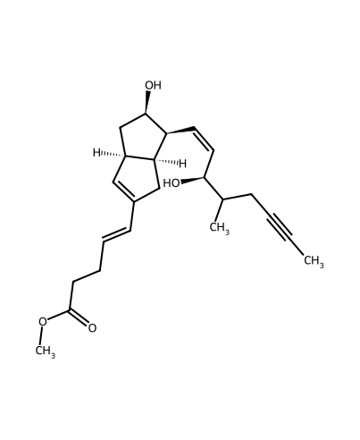 CC#CCC(C)[C@@H](O)/C=C\[C@H]1[C@H]2CC(C=CCCC(=O)OC)=C[C@H]2C[C@H]1O